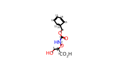 O=C(NO[C@H](CO)C(=O)O)OCc1ccccc1